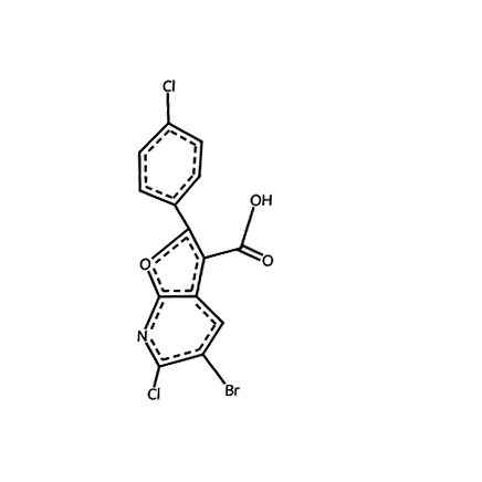 O=C(O)c1c(-c2ccc(Cl)cc2)oc2nc(Cl)c(Br)cc12